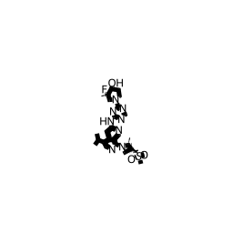 CC(C)c1cnc(N2C[C@H](CS(C)(=O)=O)[C@H]2C)c2cnc(Nc3ncnc(N4CC[C@H](O)[C@](C)(F)C4)n3)cc12